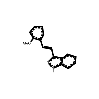 COc1ccccc1/C=C/c1n[nH]c2ccccc12